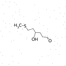 CSCCC(O)CCC=O